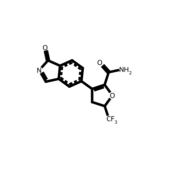 NC(=O)C1=C(c2ccc3c(c2)C=NC3=O)CC(C(F)(F)F)O1